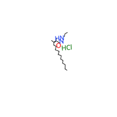 CCCCCCCCCCCCC(C)=C(C)C(=O)N(C)NCCC.Cl